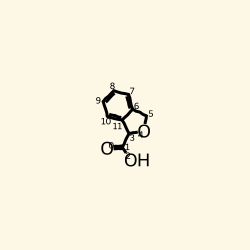 O=C(O)C1OCc2ccccc21